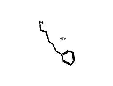 Br.PCCCCCc1ccccc1